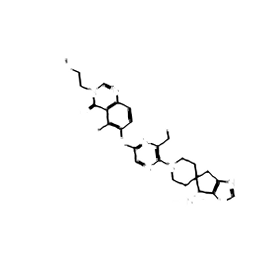 COCCn1cnc2ccc(Sc3cnc(N4CCC5(CC4)Cc4ncsc4[C@H]5N)c(CO)n3)c(Cl)c2c1=O